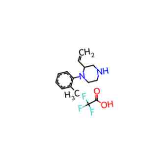 C=CC1CNCCN1c1ccccc1C.O=C(O)C(F)(F)F